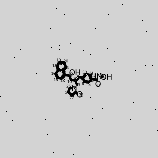 O=C(NO)c1ccc(C=C(CC(O)c2cccc3ccccc23)CN2CCCC2=O)cc1